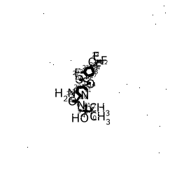 CC(C)C1(O)CN(C(=O)c2ncc(S(=O)(=O)c3ccc(OC(F)(F)F)cc3F)cc2N)C1